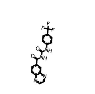 O=C(NC(=O)c1ccc2nccnc2c1)Nc1ccc(C(F)(F)F)cc1